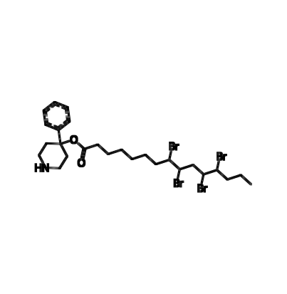 CCCC(Br)C(Br)CC(Br)C(Br)CCCCCCC(=O)OC1(c2ccccc2)CCNCC1